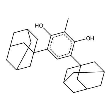 Cc1c(O)c(C23CC4CC(CC(C4)C2)C3)cc(C23CC4CC(CC(C4)C2)C3)c1O